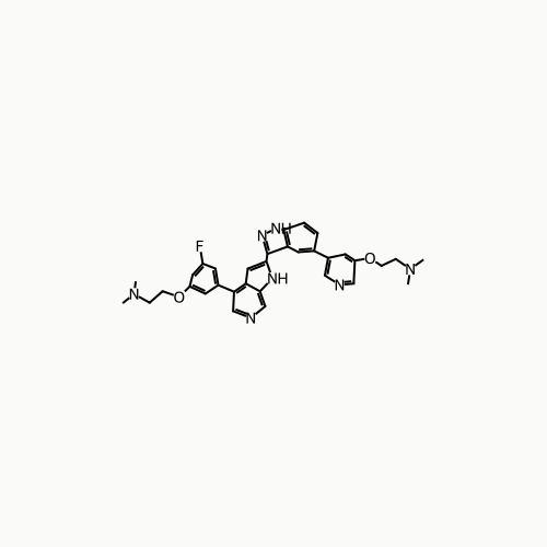 CN(C)CCOc1cncc(-c2ccc3[nH]nc(-c4cc5c(-c6cc(F)cc(OCCN(C)C)c6)cncc5[nH]4)c3c2)c1